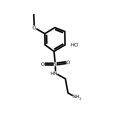 COc1cccc(S(=O)(=O)NCCN)c1.Cl